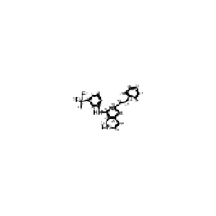 FC(F)(F)c1cccc(Nc2nc(CCc3ccccc3)cc3c2CNC=C3)c1